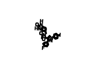 O=C1COC(c2cn(-c3ccc(I)cc3)nc2-c2ccc(F)cc2)N1Cc1ccc2[nH]c(=O)[nH]c2c1